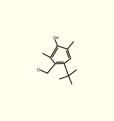 Cc1cc(C(C)(C)C)c(CCl)c(C)c1O